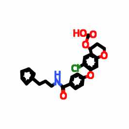 O=C(O)OC1CCOc2cc(Oc3ccc(C(=O)NCCCc4ccccc4)cc3)c(Cl)cc21